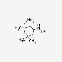 CCCNC1CC(C)(C)CC(C)(CN)C1